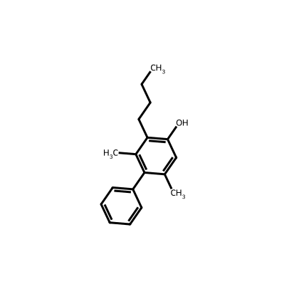 CCCCc1c(O)cc(C)c(-c2ccccc2)c1C